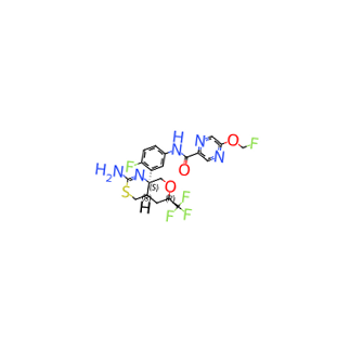 NC1=N[C@@]2(c3cc(NC(=O)c4cnc(OCF)cn4)ccc3F)CO[C@@H](C(F)(F)F)C[C@H]2CS1